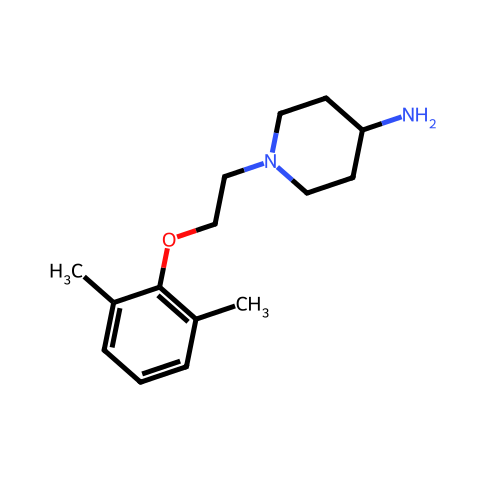 Cc1cccc(C)c1OCCN1CCC(N)CC1